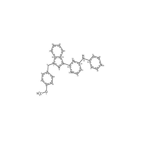 COc1ccc(Cn2nc(-c3nccc(Nc4ccncc4)n3)c3ccccc32)cc1